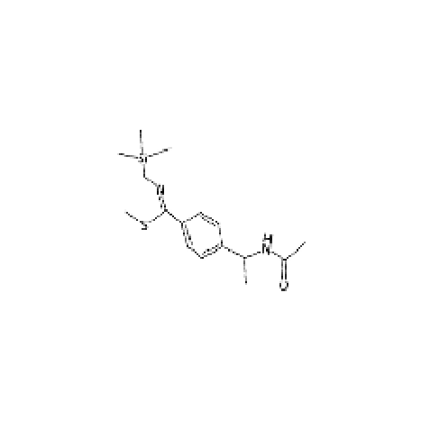 CSC(=NC[Si](C)(C)C)c1ccc(C(C)NC(C)=O)cc1